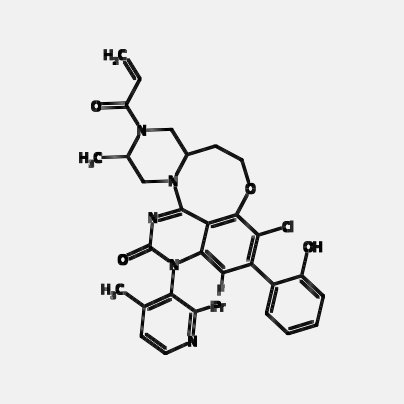 C=CC(=O)N1CC2CCOc3c(Cl)c(-c4ccccc4O)c(F)c4c3c(nc(=O)n4-c3c(C)ccnc3C(C)C)N2CC1C